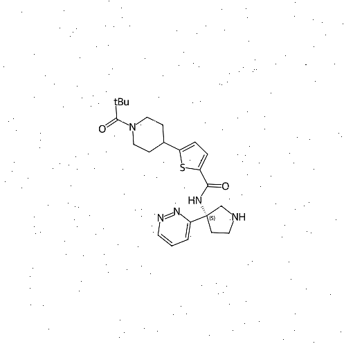 CC(C)(C)C(=O)N1CCC(c2ccc(C(=O)N[C@@]3(c4cccnn4)CCNC3)s2)CC1